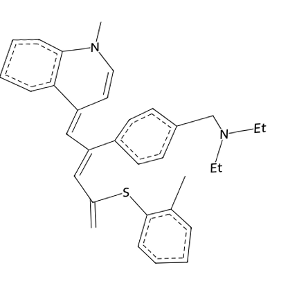 C=C(/C=C(/C=C1\C=CN(C)c2ccccc21)c1ccc(CN(CC)CC)cc1)Sc1ccccc1C